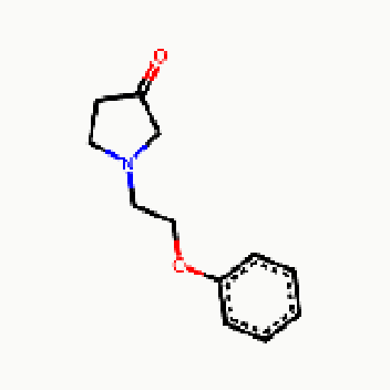 O=C1CCN(CCOc2ccccc2)C1